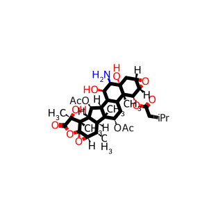 CC(=O)O[C@H]1[C@@H]2[C@H]([C@H](C)[C@H]3O[C@]34OC(=O)[C@@](C)(O)[C@]24C)[C@@]2(C)[C@@H](OC(C)=O)CC3C([C@@H](O)[C@@H](N)[C@@]4(O)C[C@@H]5O[C@@H]5[C@H](OC(=O)CC(C)C)[C@]34C)[C@H]12